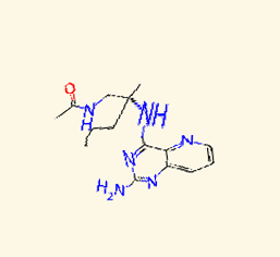 CCCC(C)(CNC(C)=O)Nc1nc(N)nc2cccnc12